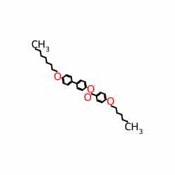 CCCCCCCCCOc1ccc(-c2ccc(OC(=O)c3ccc(OCCCCCCC)cc3)cc2)cc1